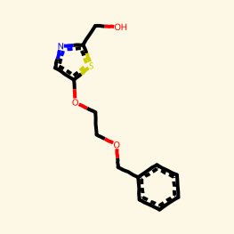 OCc1ncc(OCCOCc2ccccc2)s1